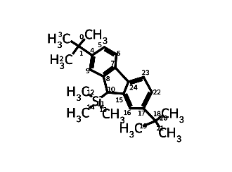 CC(C)(C)c1ccc2c(c1)C([Si](C)(C)C)c1cc(C(C)(C)C)ccc1-2